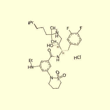 CCNc1cc(C(=O)N[C@@H](Cc2ccc(F)c(F)c2)[C@H](O)CNC(C)(C)CCCC(C)C)cc(N2CCCCS2(=O)=O)c1.Cl